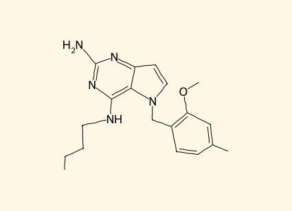 CCCCNc1nc(N)nc2ccn(Cc3ccc(C)cc3OC)c12